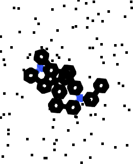 c1ccc(-c2cccc(N(c3ccc(-c4cccc(-c5cc6c7ccccc7n7c6c6c5C(c5ccccc5)(c5ccccc5)c5cccc(c5-6)-c5ccccc5-7)c4)cc3)c3cccc(-c4ccccc4)c3)c2)cc1